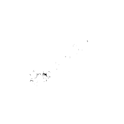 CCCCC(O)CCCCCCCCCCCOP1(=O)OCC2COC(=O)C2=C(C)O1